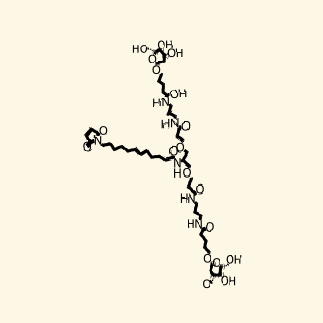 O=C[C@@H]1C[C@H](OCCCCC(=O)NCCCNC(=O)CCOCC(COCCC(=O)NCCCNC(O)CCCCO[C@H]2C[C@@H](O)[C@@H](O)[C@@H](CO)O2)NC(=O)CCCCCCCCCCCN2C(=O)C=CC2=O)O[C@H](CO)[C@@H]1O